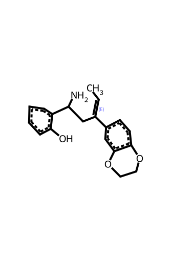 C/C=C(\CC(N)c1ccccc1O)c1ccc2c(c1)OCCO2